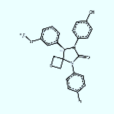 N#Cc1ccc(N2C(=O)N(c3ccc(Cl)cc3)C3(COC3)[C@H]2c2cccc(OC(F)(F)F)c2)cc1